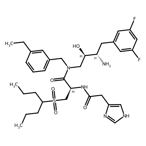 CCCC(CCC)S(=O)(=O)C[C@H](NC(=O)Cc1c[nH]cn1)C(=O)N(Cc1cccc(CC)c1)C[C@@H](O)[C@@H](N)Cc1cc(F)cc(F)c1